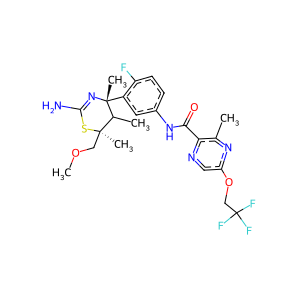 COC[C@@]1(C)SC(N)=N[C@](C)(c2cc(NC(=O)c3ncc(OCC(F)(F)F)nc3C)ccc2F)C1C